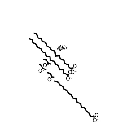 CCC(C)[O-].CCC(C)[O-].CCC(C)[O-].CCCCCCCCCCCCCCCCCC(=O)[O-].CCCCCCCCCCCCCCCCCC(=O)[O-].CCCCCCCCCCCCCCCCCC(=O)[O-].[Al+3].[Al+3]